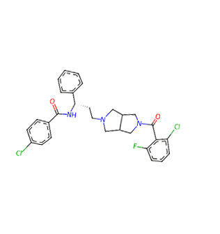 O=C(N[C@@H](CCN1CC2CN(C(=O)c3c(F)cccc3Cl)CC2C1)c1ccccc1)c1ccc(Cl)cc1